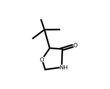 CC(C)(C)C1OCNC1=O